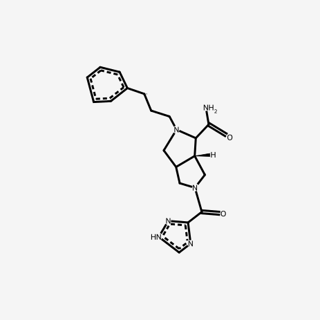 NC(=O)C1[C@@H]2CN(C(=O)c3nc[nH]n3)CC2CN1CC[CH]c1ccccc1